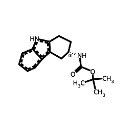 CC(C)(C)OC(=O)N[C@H]1CCc2[nH]c3ccccc3c2C1